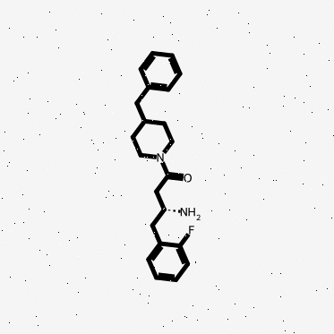 N[C@@H](CC(=O)N1CCC(Cc2ccccc2)CC1)Cc1ccccc1F